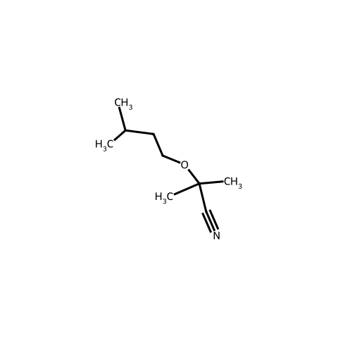 CC(C)CCOC(C)(C)C#N